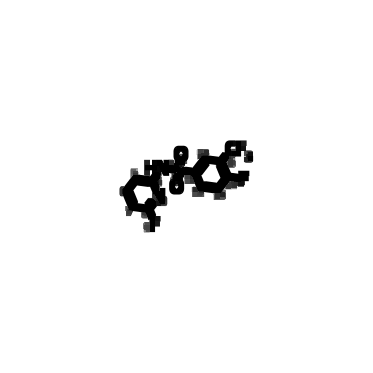 O=S(=O)(Nc1cccc(F)n1)c1ccc(F)c(C(F)(F)F)c1